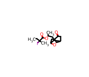 CCC(C)(I)C(=O)OC(C)CC1C2CC3C(=O)CC1C3O2